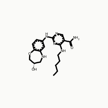 CCCCCNc1nc(Nc2ccc3c(c2)NC[C@H](O)CO3)ncc1C(N)=O